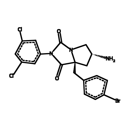 N[C@H]1CN2C(=O)N(c3cc(Cl)cc(Cl)c3)C(=O)[C@@]2(Cc2ccc(Br)cc2)C1